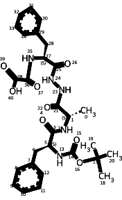 C[C@H](NC(=O)[C@H](Cc1ccccc1)NC(=O)OC(C)(C)C)C(=O)NNC(=O)[C@H](Cc1ccccc1)NC(=O)C(=O)O